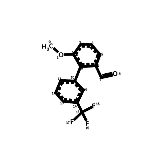 COc1cccc(C=O)c1-c1cccc(C(F)(F)F)c1